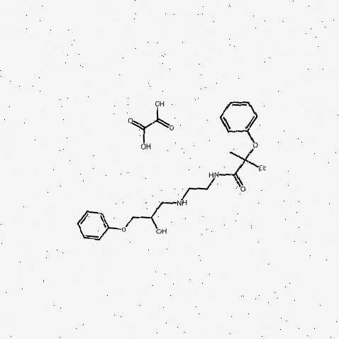 CCC(C)(Oc1ccccc1)C(=O)NCCNCC(O)COc1ccccc1.O=C(O)C(=O)O